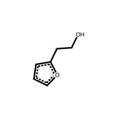 OC[CH]c1ccco1